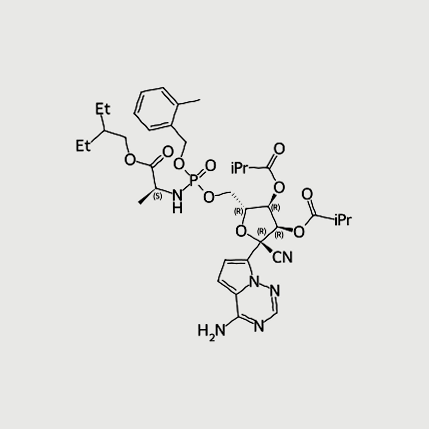 CCC(CC)COC(=O)[C@H](C)NP(=O)(OCc1ccccc1C)OC[C@H]1O[C@@](C#N)(c2ccc3c(N)ncnn23)[C@H](OC(=O)C(C)C)[C@@H]1OC(=O)C(C)C